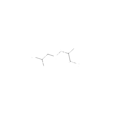 CCCCC(CC)COCC(C)CO